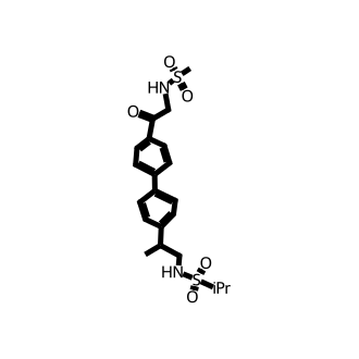 CC(CNS(=O)(=O)C(C)C)c1ccc(-c2ccc(C(=O)CNS(C)(=O)=O)cc2)cc1